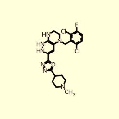 CN1CCC(c2nnc(C3=CC4=C(NCCN4Cc4c(Cl)ccc(F)c4Cl)NN3)o2)CC1